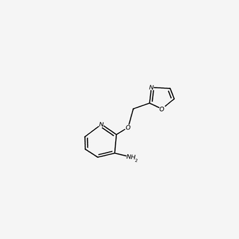 Nc1cccnc1OCc1ncco1